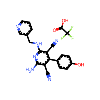 N#Cc1c(N)nc(NCc2cccnc2)c(C#N)c1-c1ccc(O)cc1.O=C(O)C(F)(F)F